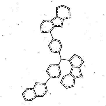 c1ccc2cc(-c3ccc(N(c4ccc(-c5cccc6c5sc5ncccc56)cc4)c4cccc5oc6ccccc6c45)cc3)ccc2c1